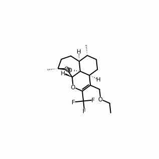 CCOCC1=C(C(F)(F)F)O[C@@H]2O[C@]3(C)CC[C@H]4[C@H](C)CC[C@@H]1[C@@]24OO3